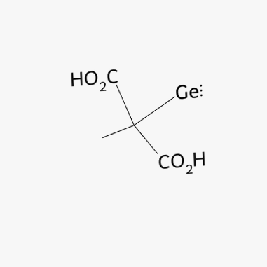 C[C]([Ge])(C(=O)O)C(=O)O